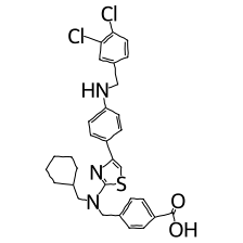 O=C(O)c1ccc(CN(CC2CCCCC2)c2nc(-c3ccc(NCc4ccc(Cl)c(Cl)c4)cc3)cs2)cc1